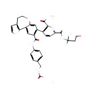 COC(=O)c1nc(C(=O)NC(C)(C)CCO)ccc1-c1cc2c(cc1C(=O)Nc1ccc(CNC(=O)OC(C)(C)C)cc1)-c1sccc1CCO2